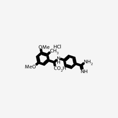 COc1cc(OC)c(C)c(C(Nc2ccc(C(=N)N)cc2)C(=O)O)c1.Cl